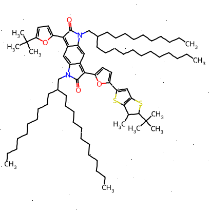 CCCCCCCCCCCCC(CCCCCCCCCC)CN1C(=O)C(c2ccc(-c3cc4c(s3)C(C)C(C(C)(C)C)S4)o2)=c2cc3c(cc21)=C(c1ccc(C(C)(C)C)o1)C(=O)N3CC(CCCCCCCCCC)CCCCCCCCCCCC